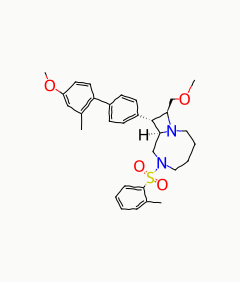 COC[C@@H]1[C@@H](c2ccc(-c3ccc(OC)cc3C)cc2)[C@@H]2CN(S(=O)(=O)c3ccccc3C)CCCCN12